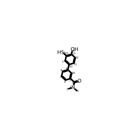 CN(C)C(=O)c1cccc(-c2ccc(O)c(S)c2)c1